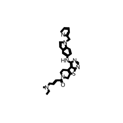 CCN(C)C/C=C/C(=O)N1CCc2c(sc3ncnc(Nc4ccc5c(ccn5Cc5ccccn5)c4)c23)C1